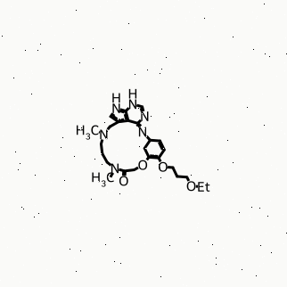 CCOCCCOC1=C2CC(C=C1)/N=C1\N=CNc3[nH]cc(c31)CN(C)CCCN(C)C(=O)CO2